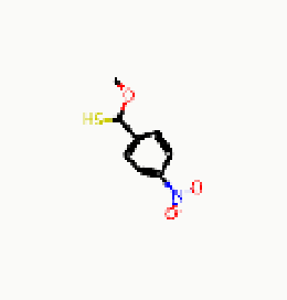 COC(S)c1ccc([N+](=O)[O-])cc1